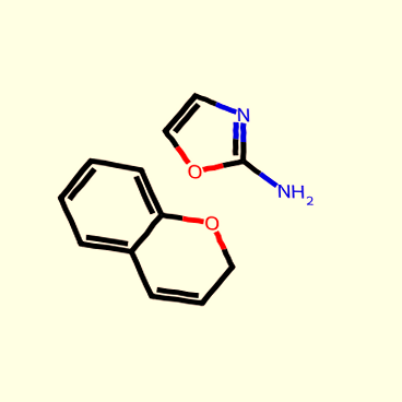 C1=Cc2ccccc2OC1.Nc1ncco1